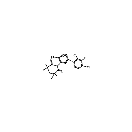 CCc1ccc(-c2ccc(Cl)c(F)c2Cl)cc1C1C(=O)C(C)(C)CC(C)(C)C1=O